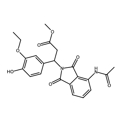 CCOc1cc(C(CC(=O)OC)N2C(=O)c3cccc(NC(C)=O)c3C2=O)ccc1O